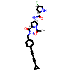 CC(C)C(=O)N1C[C@H](NC(=O)[C@@H]2C[C@@H](F)CN2)C[C@@H]1C(=O)NCc1ccc(C#CC#CC2CC2)cc1